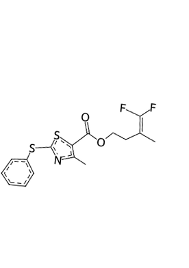 CC(CCOC(=O)c1sc(Sc2ccccc2)nc1C)=C(F)F